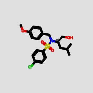 COc1ccc(CN([C@@H](CO)CC(C)C)S(=O)(=O)c2ccc(Cl)cc2)cc1